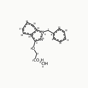 Cl.O=C(O)COc1nn(Cc2ccccc2)c2ccccc12